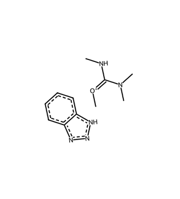 CNC(=[O+]C)N(C)C.c1ccc2[nH]nnc2c1